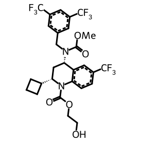 COC(=O)N(Cc1cc(C(F)(F)F)cc(C(F)(F)F)c1)[C@H]1C[C@@H](C2CCC2)N(C(=O)OCCO)c2ccc(C(F)(F)F)cc21